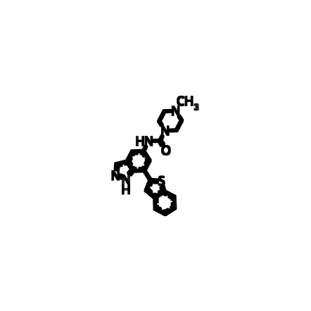 CN1CCN(C(=O)Nc2cc(-c3cc4ccccc4s3)c3[nH]ncc3c2)CC1